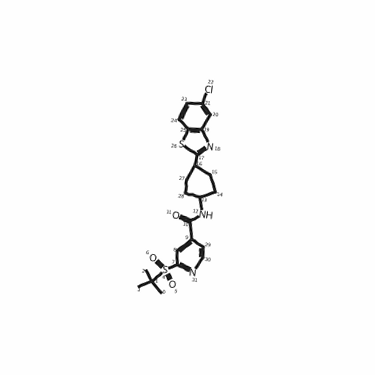 CC(C)(C)S(=O)(=O)c1cc(C(=O)NC2CCC(c3nc4cc(Cl)ccc4s3)CC2)ccn1